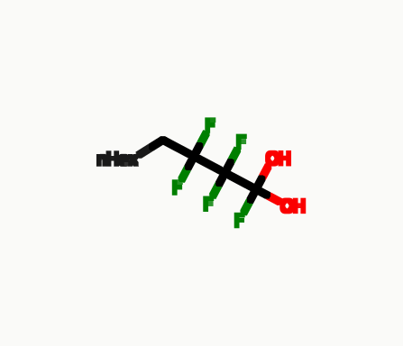 CCCCCCCC(F)(F)C(F)(F)C(O)(O)F